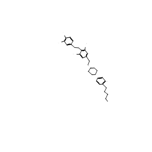 CCCCCc1ccc([C@H]2CC[C@H](CCc3cc(F)c(CCc4ccc(Cl)c(F)c4)c(F)c3)CC2)cc1